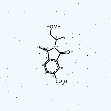 COCC(C)N1C(=O)c2ccc(C(=O)O)cc2C1=O